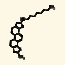 CCCCCCCCNc1cc2ccc3c4ccc5cc(C)sc5c4ccc3c2o1